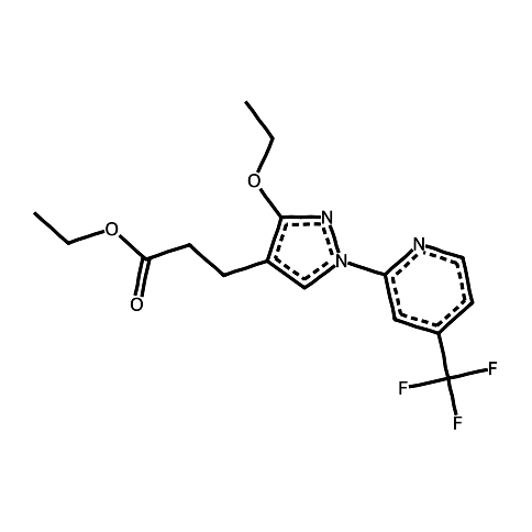 CCOC(=O)CCc1cn(-c2cc(C(F)(F)F)ccn2)nc1OCC